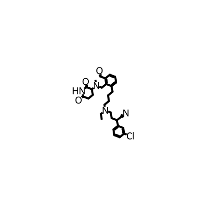 CCN(CCCCc1cccc(C=O)c1CN(C)C1CCC(=O)NC1=O)CCC(C#N)c1cccc(Cl)c1